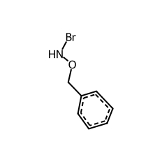 BrNOCc1ccccc1